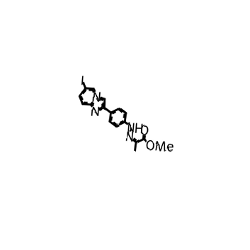 COC(=O)C(C)=NNc1ccc(-c2cn3cc(I)ccc3n2)cc1